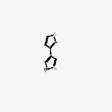 [c]1cc(-c2cn[nH]c2)n[nH]1